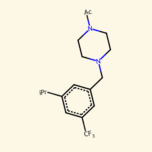 CC(=O)N1CCN(Cc2cc(C(C)C)cc(C(F)(F)F)c2)CC1